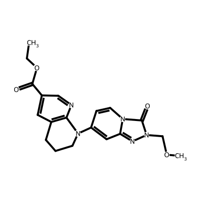 CCOC(=O)c1cnc2c(c1)CCCN2c1ccn2c(=O)n(COC)nc2c1